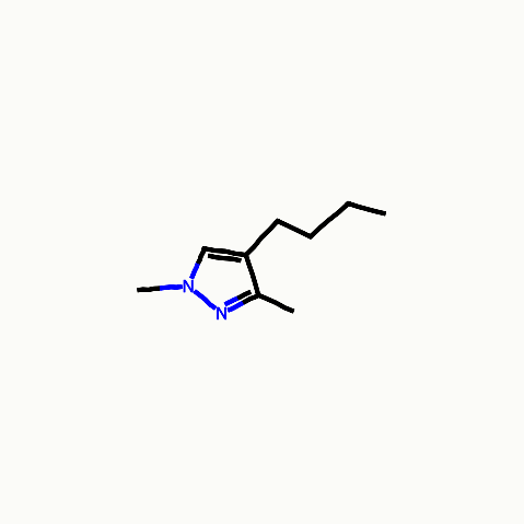 CCCCc1cn(C)nc1C